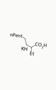 CCCCCCCC(CC)C(=O)O.[KH]